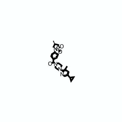 Cc1cc(C2CC2)cnc1N1CCN(C(=O)c2ccc(N3C[C@@H](C)CS3(=O)=O)cc2)CC1